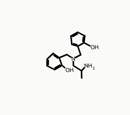 CC(N)CN(Cc1ccccc1O)Cc1ccccc1O